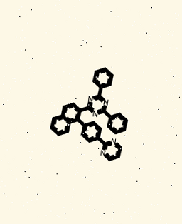 c1ccc(-c2nc(-c3ccccc3)nc(-c3ccc4ccccc4c3-c3ccc(-c4ncccn4)cc3)n2)cc1